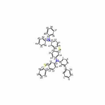 c1ccc(-c2cccc(N(c3ccc4c(c3)sc3ccccc34)c3ccc4c(c3)sc3ccc(N(c5ccccc5)c5ccccc5)cc34)c2)cc1